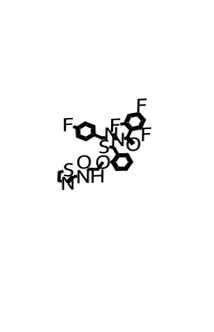 O=C(COc1ccccc1C1SC(c2ccc(F)cc2)=NN1C(=O)c1c(F)cc(F)cc1F)NC1=NCCS1